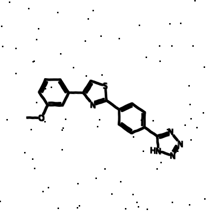 COc1cccc(-c2csc(-c3ccc(-c4nnn[nH]4)cc3)n2)c1